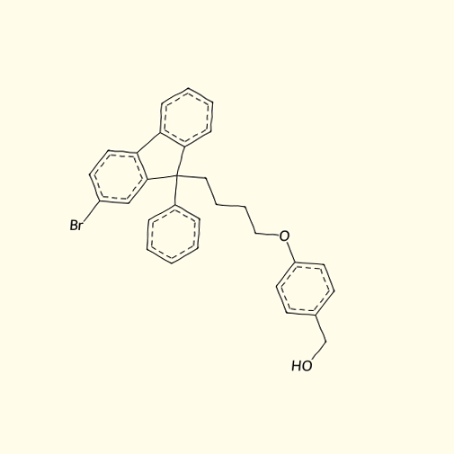 OCc1ccc(OCCCCC2(c3ccccc3)c3ccccc3-c3ccc(Br)cc32)cc1